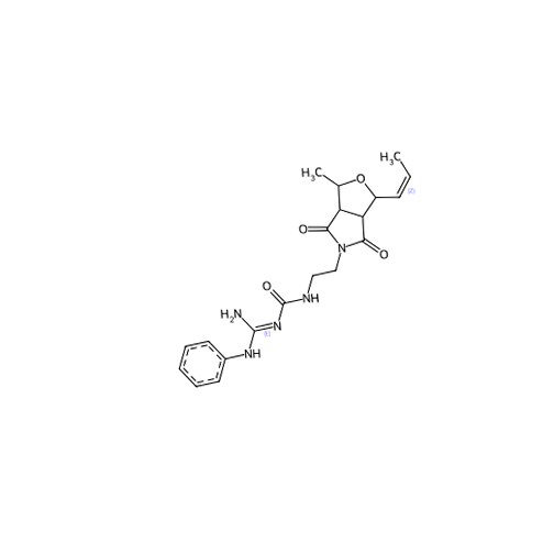 C/C=C\C1OC(C)C2C(=O)N(CCNC(=O)/N=C(\N)Nc3ccccc3)C(=O)C12